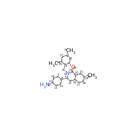 Cc1ccc(Cn2c(-c3ccc(N)cc3)cc3ccc(C)cc3c2=O)c(C)c1